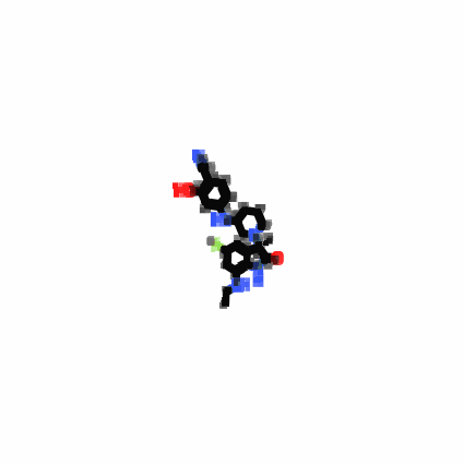 CCNc1cc(F)cc2c1NC(=O)[C@]2(C)N1CCCC(Nc2ccc(C#N)c(O)c2)C1